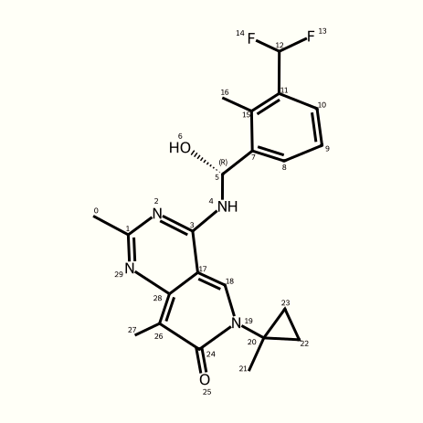 Cc1nc(N[C@H](O)c2cccc(C(F)F)c2C)c2cn(C3(C)CC3)c(=O)c(C)c2n1